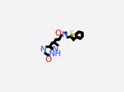 CN1CC(=O)Nc2ncc(C=CC(=O)N(C)Cc3cc4ccccc4s3)cc2C1